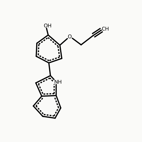 C#CCOc1cc(-c2cc3ccccc3[nH]2)ccc1O